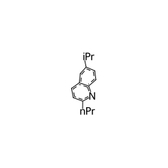 CCCc1ccc2cc(C(C)C)ccc2n1